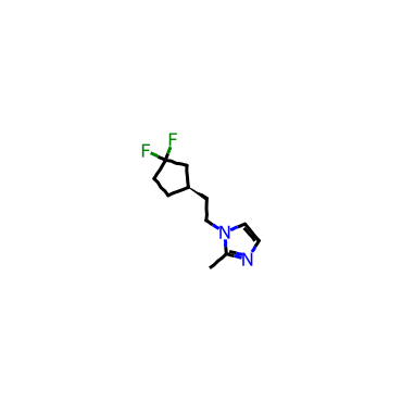 Cc1nccn1CC[C@H]1CCC(F)(F)C1